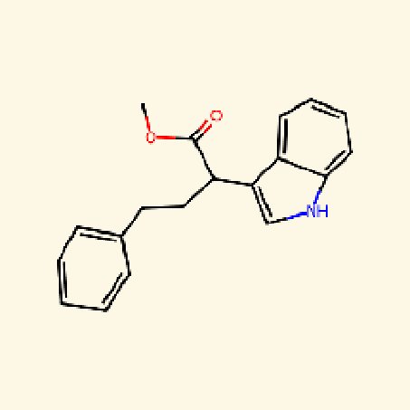 COC(=O)C(CCc1ccccc1)c1c[nH]c2ccccc12